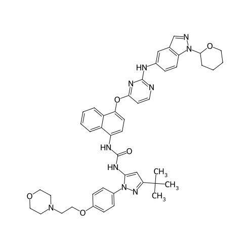 CC(C)(C)c1cc(NC(=O)Nc2ccc(Oc3ccnc(Nc4ccc5c(cnn5C5CCCCO5)c4)n3)c3ccccc23)n(-c2ccc(OCCN3CCOCC3)cc2)n1